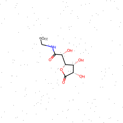 CCCCCCCCCNC(=O)[C@H](O)[C@H]1OC(=O)[C@@H](O)[C@H]1O